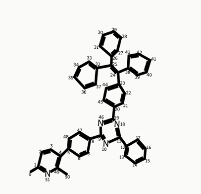 Cc1ccc(-c2ccc(-c3nc(-c4ccccc4)nc(-c4ccc(C(=C(c5ccccc5)c5ccccc5)c5ccccc5)cc4)n3)cc2)c(C)n1